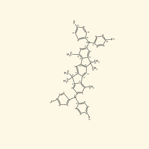 Cc1cc(N(c2ccc(F)cc2)c2ccc(F)cc2)cc2c1-c1cc3c(cc1C2(C)C)-c1c(C)cc(N(c2ccc(F)cc2)c2ccc(F)cc2)cc1C3(C)C